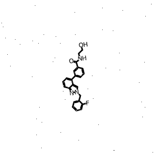 O=C(NCCO)c1cccc(-c2cccc3nn(Cc4ccccc4F)cc23)c1